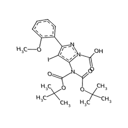 COc1ccccc1-c1nn(C(=O)O)c(N(C(=O)OC(C)(C)C)C(=O)OC(C)(C)C)c1I